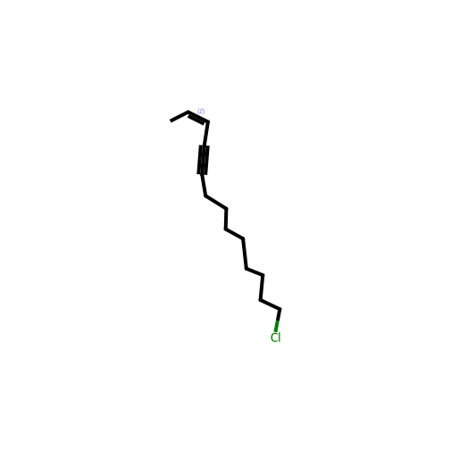 C/C=C\C#CCCCCCCCCCl